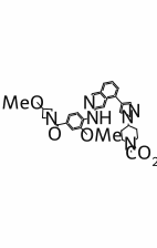 COc1cc(C(=O)N2CC(OC)C2)ccc1Nc1cc2c(-c3cnn(C4CCN(C(=O)O)CC4)c3)cccc2cn1